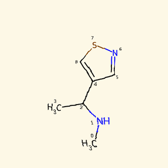 CNC(C)c1cnsc1